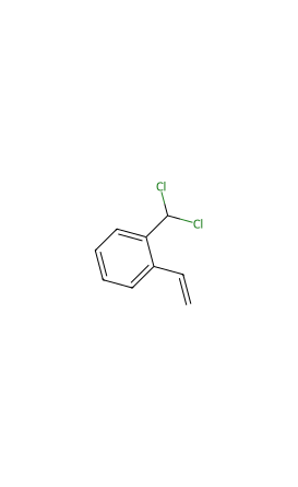 C=Cc1ccccc1C(Cl)Cl